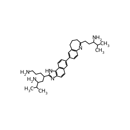 CC(C)C(N)CCC1=Nc2ccc(-c3ccc4c(ccc5nc(C(CCCN)CC(N)C(C)C)[nH]c54)c3)cc2CCC1